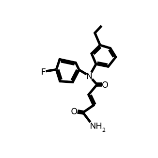 CCc1cccc(N(C(=O)C=CC(N)=O)c2ccc(F)cc2)c1